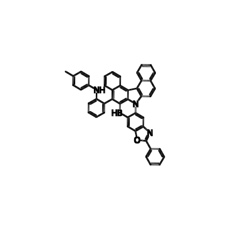 Cc1ccc(Nc2ccccc2-c2c3c4c(c5ccccc25)c2c5ccccc5ccc2n4-c2cc4nc(-c5ccccc5)oc4cc2B3)cc1